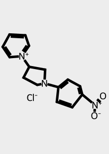 O=[N+]([O-])c1ccc(N2CCC([n+]3ccccc3)C2)cc1.[Cl-]